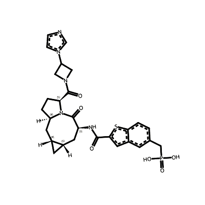 O=C(N[C@H]1C[C@@H]2C[C@@H]2C[C@H]2CC[C@@H](C(=O)N3CC(n4ccnc4)C3)N2C1=O)c1cc2cc(CP(=O)(O)O)ccc2s1